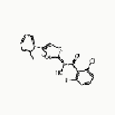 Cc1ccccc1C1=CSC(=C(C#N)C(=O)c2c(F)cccc2Cl)N1